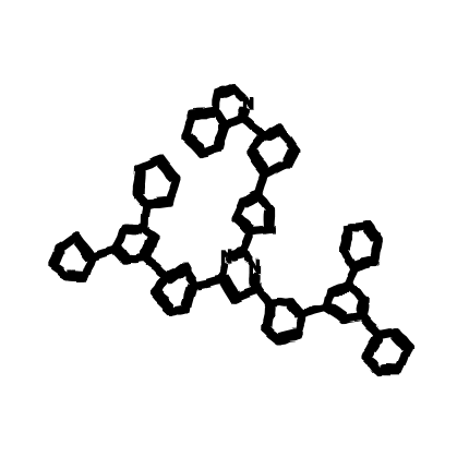 c1ccc(-c2cc(-c3ccccc3)cc(-c3cccc(-c4cc(-c5cccc(-c6cc(-c7ccccc7)cc(-c7ccccc7)c6)c5)nc(-c5ccc(-c6cccc(-c7nccc8ccccc78)c6)cc5)n4)c3)c2)cc1